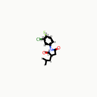 CC(C)CC1CC(=O)N(c2ccc(F)c(Cl)c2)C1=O